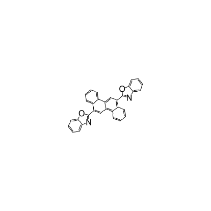 c1ccc2oc(-c3cc4c5ccccc5c(-c5nc6ccccc6o5)cc4c4ccccc34)nc2c1